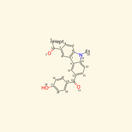 CCCCCCCC(=O)c1ccc2c(c1)c1cc(C(=O)c3ccc(O)cc3)ccc1n2CC